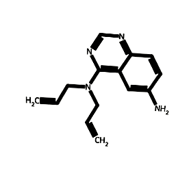 C=CCN(CC=C)c1ncnc2ccc(N)cc12